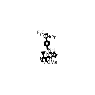 COc1ncnc(C2CC2)c1-c1nc(NCc2ccc(-c3nc(C(F)(F)F)cn3C(C)C)cc2)n2nccc2n1